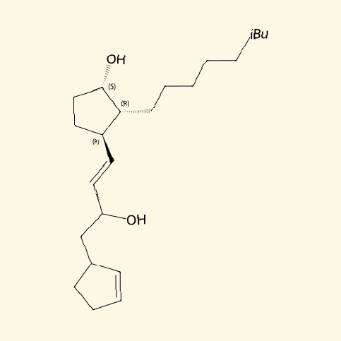 CCC(C)CCCCC[C@H]1[C@@H](O)CC[C@@H]1C=CC(O)CC1C=CCC1